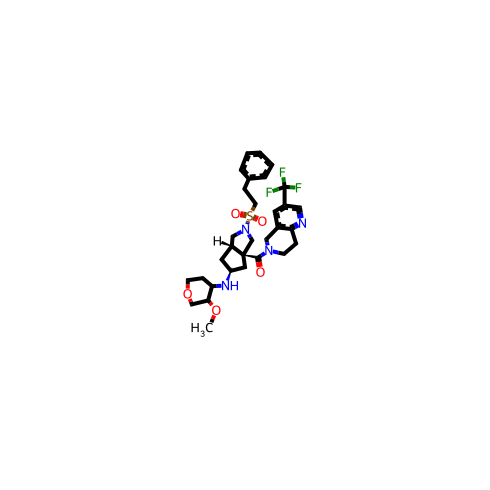 COC1COCCC1N[C@H]1C[C@@H]2CN(S(=O)(=O)CCc3ccccc3)C[C@]2(C(=O)N2CCc3ncc(C(F)(F)F)cc3C2)C1